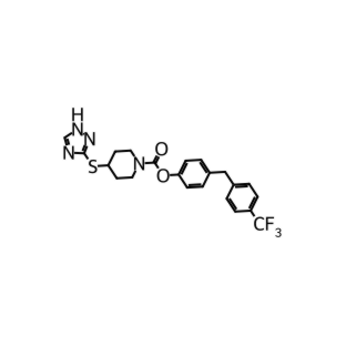 O=C(Oc1ccc(Cc2ccc(C(F)(F)F)cc2)cc1)N1CCC(Sc2nc[nH]n2)CC1